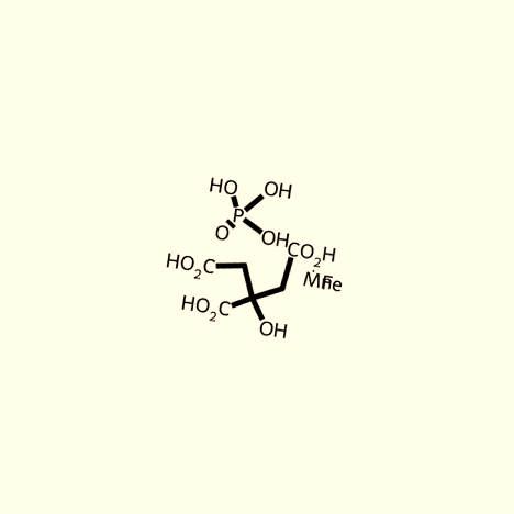 O=C(O)CC(O)(CC(=O)O)C(=O)O.O=P(O)(O)O.[Fe].[Mn]